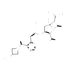 C[C@@H](O)[C@H]1C(=O)N2C(C(=O)O)=C(S/C=C\c3scnc3C(=O)N3CC(O)C3)[C@H](C)[C@H]12